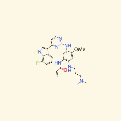 C=CC(=O)Nc1cc(Nc2nccc(-c3cn(C)c4c(F)cccc34)n2)c(OC)cc1NCCCN(C)C